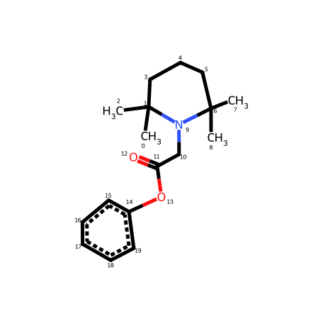 CC1(C)CCCC(C)(C)N1CC(=O)Oc1ccccc1